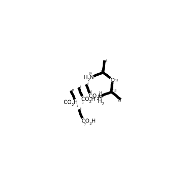 CC(=O)O.CC(=O)O.CC(=O)O.CC(=O)O.CC(N)OC(C)N